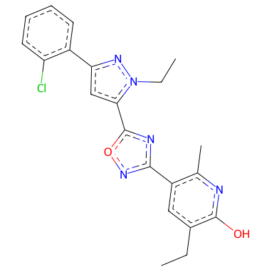 CCc1cc(-c2noc(-c3cc(-c4ccccc4Cl)nn3CC)n2)c(C)nc1O